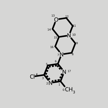 Cc1nc(Cl)cc(N2CCN3CCOCC3C2)n1